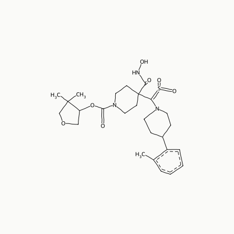 Cc1ccccc1C1CCN(C(=S(=O)=O)C2(C(=O)NO)CCN(C(=O)OC3COCC3(C)C)CC2)CC1